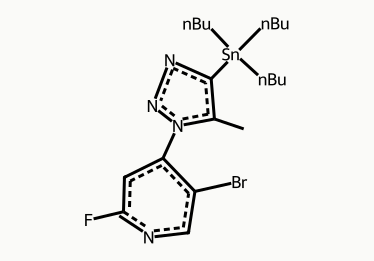 CCC[CH2][Sn]([CH2]CCC)([CH2]CCC)[c]1nnn(-c2cc(F)ncc2Br)c1C